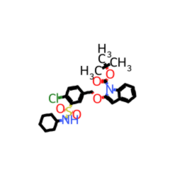 CC(C)(C)OC(=O)n1c(OCc2ccc(Cl)c(S(=O)(=O)NC3CCCCC3)c2)cc2ccccc21